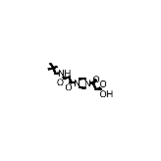 CC(C)(C)CNC(=O)CC(=O)N1CCN(C(=O)CC(=O)O)CC1